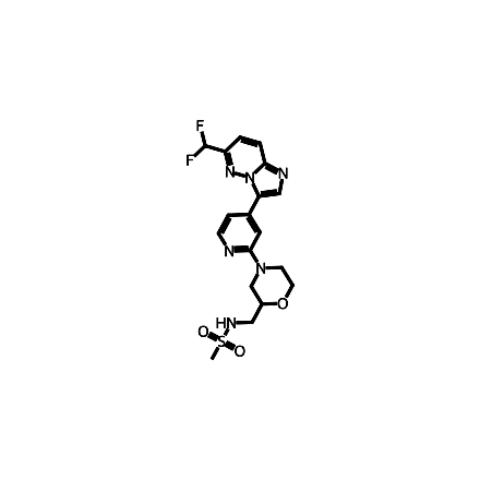 CS(=O)(=O)NCC1CN(c2cc(-c3cnc4ccc(C(F)F)nn34)ccn2)CCO1